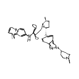 C[C@H]1CC[C@H](c2ccc3nn(C4CCN(C)CC4)cc3c2)N(C(=O)C(=O)Nc2ccn3ccnc3c2)C1